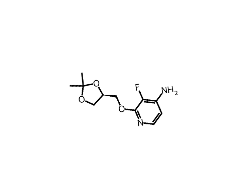 CC1(C)OC[C@H](COc2nccc(N)c2F)O1